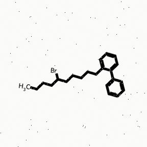 CCCCC(Br)CCCCCc1ccccc1-c1ccccc1